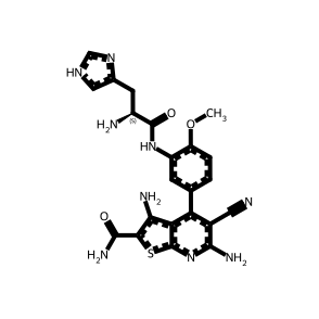 COc1ccc(-c2c(C#N)c(N)nc3sc(C(N)=O)c(N)c23)cc1NC(=O)[C@@H](N)Cc1c[nH]cn1